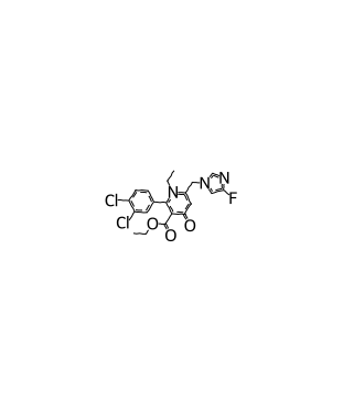 CCOC(=O)c1c(-c2ccc(Cl)c(Cl)c2)n(CC)c(Cn2cnc(F)c2)cc1=O